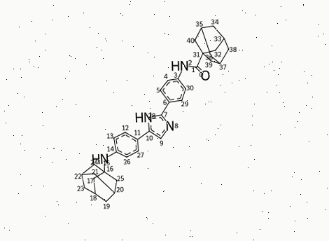 O=C(Nc1ccc(-c2ncc(-c3ccc(NC45CC6CC(CC(C6)C4)C5)cc3)[nH]2)cc1)C12CC3CC(CC(C3)C1)C2